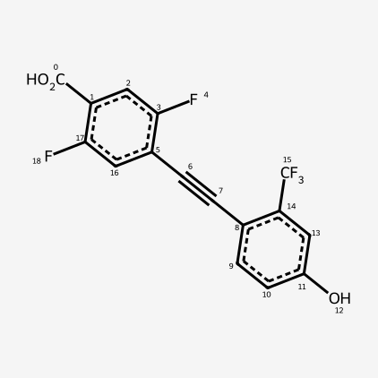 O=C(O)c1cc(F)c(C#Cc2ccc(O)cc2C(F)(F)F)cc1F